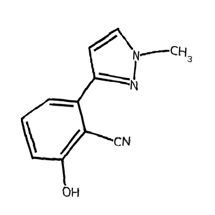 Cn1ccc(-c2cccc(O)c2C#N)n1